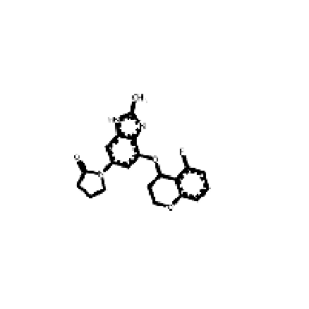 Cc1nc2c(OC3CCOc4cccc(F)c43)cc(N3CCCC3=O)cc2[nH]1